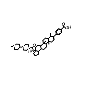 CC1C(c2ccc(C(=O)O)cc2)=CCC2(C)C1CCC1(C)C2CCC2C3CCCC3(NC(=O)N3CCN(C4CCN(C)CC4)CC3)CC[C@]21C